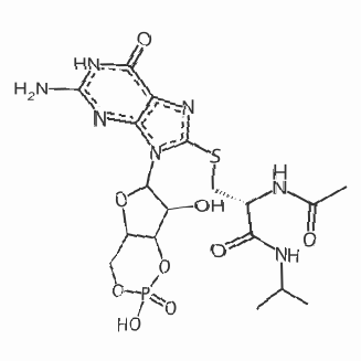 CC(=O)N[C@@H](CSc1nc2c(=O)[nH]c(N)nc2n1C1OC2COP(=O)(O)OC2C1O)C(=O)NC(C)C